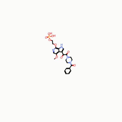 COc1cnc(OCCOP(=O)(O)O)c2[nH]cc(C(=O)C(=O)N3CCN(C(=O)c4ccccc4)CC3)c12